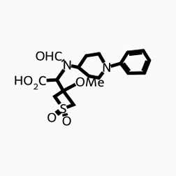 COC1(C(C(=O)O)N(C=O)C2CCN(c3ccccc3)CC2)CS(=O)(=O)C1